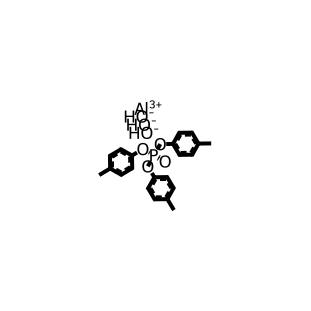 Cc1ccc(OP(=O)(Oc2ccc(C)cc2)Oc2ccc(C)cc2)cc1.[Al+3].[OH-].[OH-].[OH-]